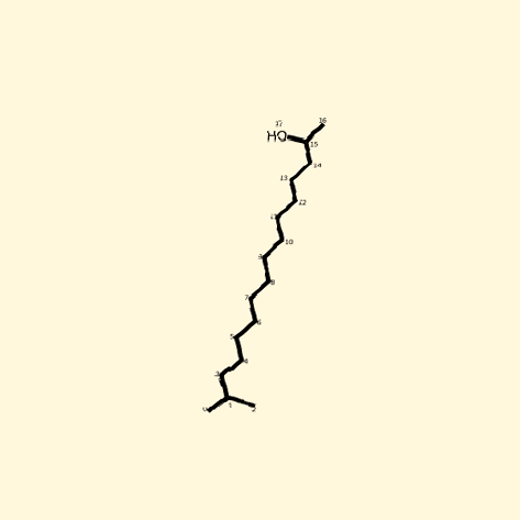 CC(C)CCCCCCCCCCCCC(C)O